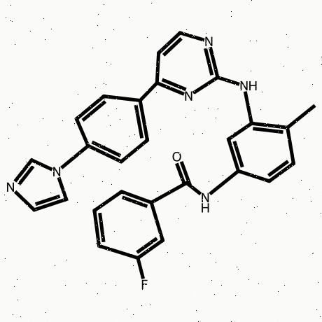 Cc1ccc(NC(=O)c2cccc(F)c2)cc1Nc1nccc(-c2ccc(-n3ccnc3)cc2)n1